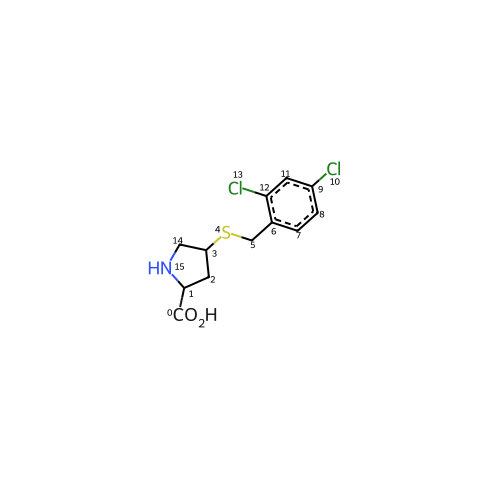 O=C(O)C1CC(SCc2ccc(Cl)cc2Cl)CN1